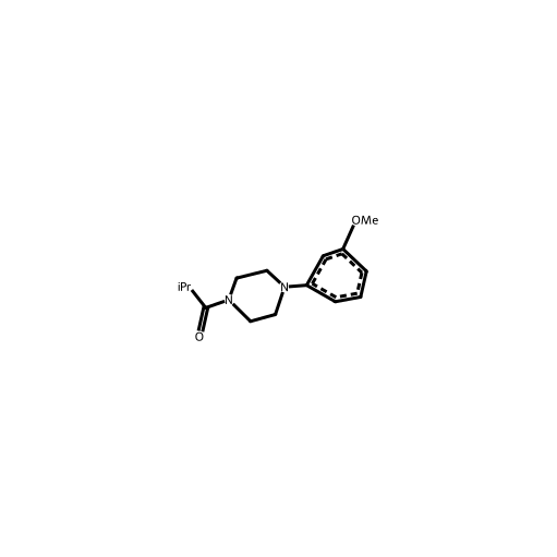 COc1cccc(N2CCN(C(=O)C(C)C)CC2)c1